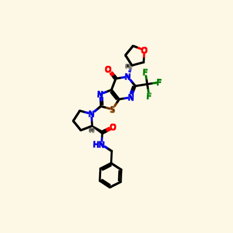 O=C(NCc1ccccc1)[C@H]1CCCN1c1nc2c(=O)n([C@@H]3CCOC3)c(C(F)(F)F)nc2s1